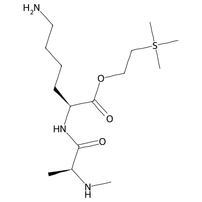 CN[C@@H](C)C(=O)N[C@@H](CCCCN)C(=O)OCCS(C)(C)C